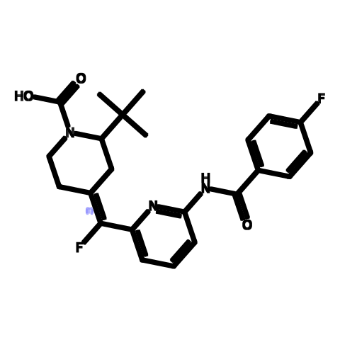 CC(C)(C)C1C/C(=C(/F)c2cccc(NC(=O)c3ccc(F)cc3)n2)CCN1C(=O)O